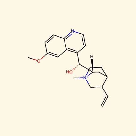 C=CC1C[N+]2(C)CCC1C[C@H]2[C@H](O)c1ccnc2ccc(OC)cc12